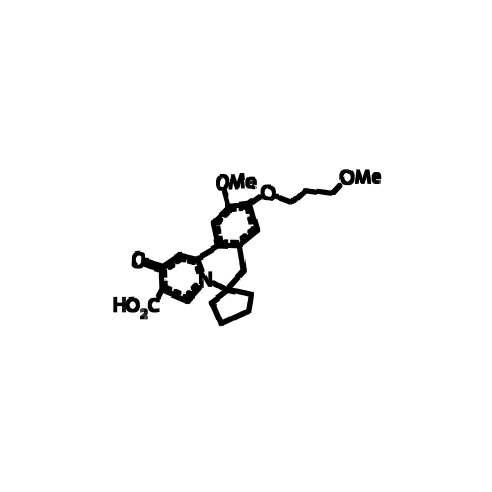 COCCCOc1cc2c(cc1OC)-c1cc(=O)c(C(=O)O)cn1C1(CCCC1)C2